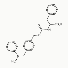 CN(Cc1ccc(COC(=O)NC(Cc2ccccc2)C(=O)O)cc1)c1ccccc1